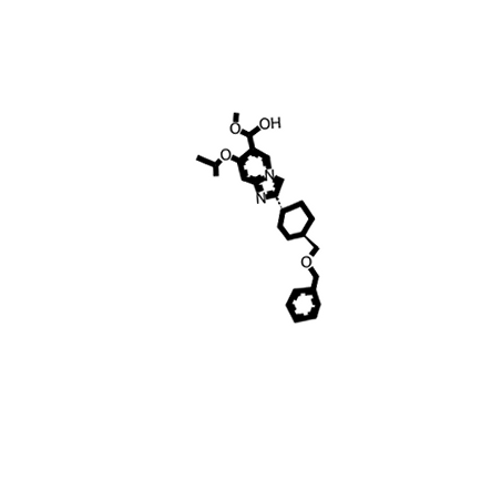 COC(O)c1cn2cc([C@H]3CC[C@H](COCc4ccccc4)CC3)nc2cc1OC(C)C